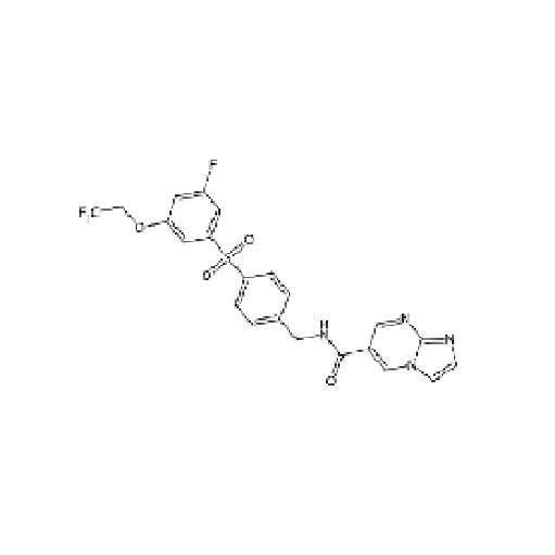 O=C(NCc1ccc(S(=O)(=O)c2cc(F)cc(OCC(F)(F)F)c2)cc1)c1cnc2nccn2c1